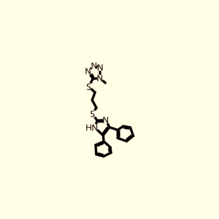 Cn1nnnc1SCCCSc1nc(-c2ccccc2)c(-c2ccccc2)[nH]1